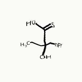 CCCC(C)(O)C(O)=S